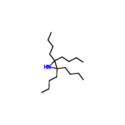 CCCCC1(CCCC)NC1(CCCC)CCCC